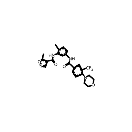 Cc1ccc(NC(=O)c2ccc(N3CCOCC3)c(C(F)(F)F)c2)cc1NC(=O)c1cnoc1C